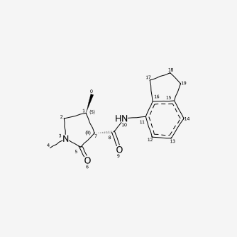 C[C@@H]1CN(C)C(=O)[C@H]1C(=O)Nc1cccc2c1CCC2